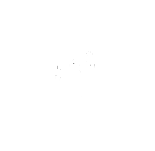 C=C(C)C(=O)OC(Cc1ccccc1)C(O)(C(F)(F)F)C(F)(F)F